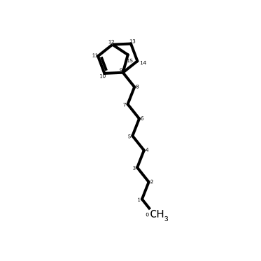 CCCCCCCCCC12C=CC(CC1)C2